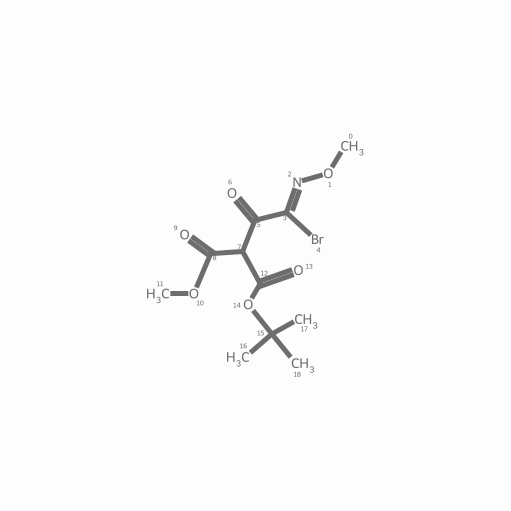 CON=C(Br)C(=O)C(C(=O)OC)C(=O)OC(C)(C)C